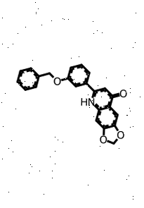 O=c1cc(-c2cccc(OCc3ccccc3)c2)[nH]c2cc3c(cc12)OCO3